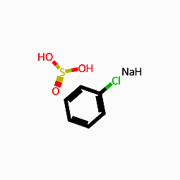 Clc1ccccc1.O=S(O)O.[NaH]